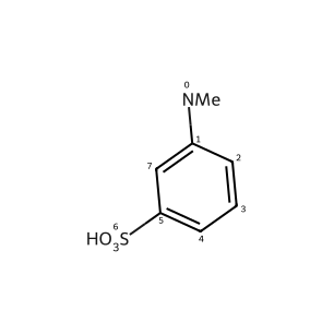 CNc1cccc(S(=O)(=O)O)c1